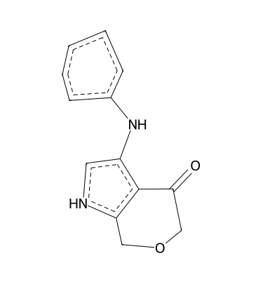 O=C1COCc2[nH]cc(Nc3ccccc3)c21